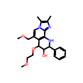 COCCOC1c2c(COC)cn3c(C)c(C)nc3c2NC(c2ccccc2)C1O